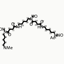 CNCCCCCN(N=O)C(=O)CCC(=O)NCCCCCN(N=O)C(=O)CCC(=O)NCCCCCN(N=O)C(C)=O